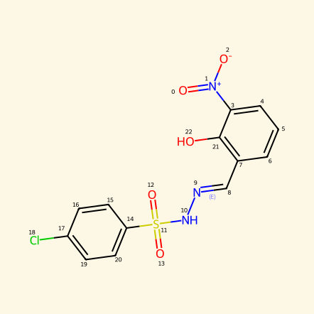 O=[N+]([O-])c1cccc(/C=N/NS(=O)(=O)c2ccc(Cl)cc2)c1O